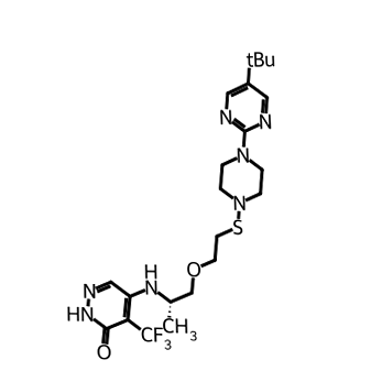 C[C@@H](COCCSN1CCN(c2ncc(C(C)(C)C)cn2)CC1)Nc1cn[nH]c(=O)c1C(F)(F)F